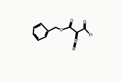 CCC(=O)C(=[N+]=[N-])C(=O)OCc1ccccc1